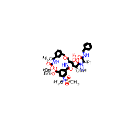 CO[C@H](C[C@H](O)[C@H](COCc1cccc(C(C)NC(=O)OC(C)(C)C)c1)NC(=O)c1cc(C(=O)OC(C)(C)C)cc(N(C)S(C)(=O)=O)c1)C(=O)N[C@H](C(=O)NCc1ccccc1)C(C)C